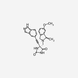 C=C1c2cc(OC)ccc2CN1C[C@@]1(C#Cc2ccc3[nH]ncc3c2)NC(=O)NC1=O